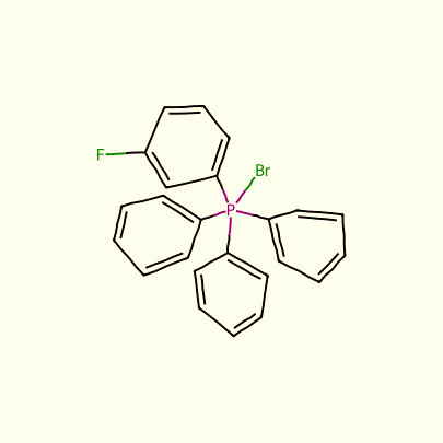 Fc1cccc(P(Br)(c2ccccc2)(c2ccccc2)c2ccccc2)c1